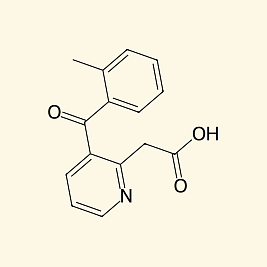 Cc1ccccc1C(=O)c1cccnc1CC(=O)O